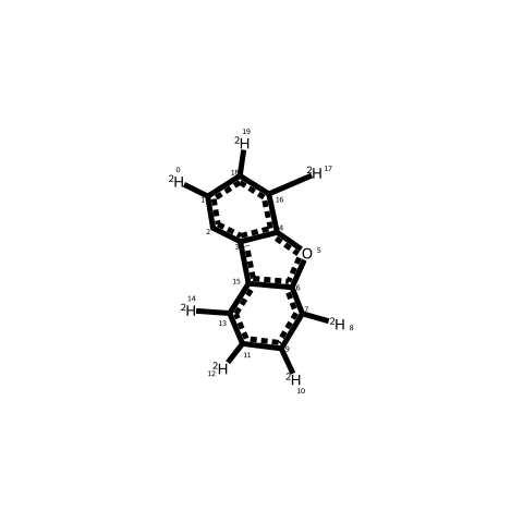 [2H]c1cc2c(oc3c([2H])c([2H])c([2H])c([2H])c32)c([2H])c1[2H]